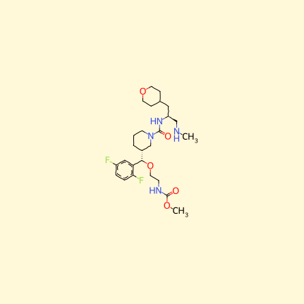 CNC[C@H](CC1CCOCC1)NC(=O)N1CCC[C@@H](C(OCCNC(=O)OC)c2cc(F)ccc2F)C1